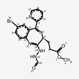 COC(=O)CC[C@@H]1N=C(c2ccccn2)c2cc(Br)ccc2N=C1NNC=O